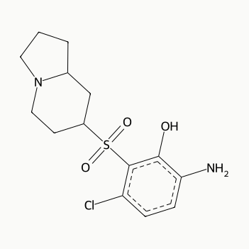 Nc1ccc(Cl)c(S(=O)(=O)C2CCN3CCCC3C2)c1O